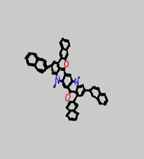 Cn1c2cc3c(=O)c4c(-c5ccc6ccccc6c5)cc(-c5ccc6ccccc6c5)cc4n(C)c3cc2c(=O)c2c(-c3ccc4ccccc4c3)cc(-c3ccc4ccccc4c3)cc21